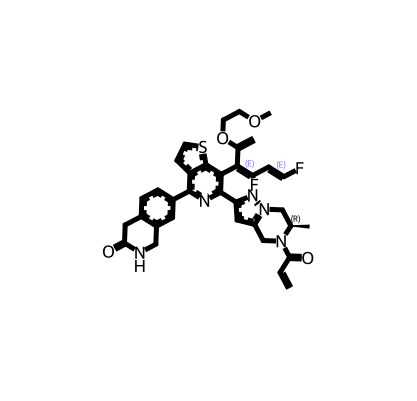 C=CC(=O)N1Cc2cc(-c3nc(-c4ccc5c(c4)CNC(=O)C5)c4ccsc4c3/C(C(=C)OCCOC)=C(F)/C=C/F)nn2C[C@H]1C